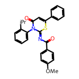 COc1ccc(C(=O)N=c2sc(-c3ccccc3)cc(=O)n2-c2ccccc2C(C)C)cc1